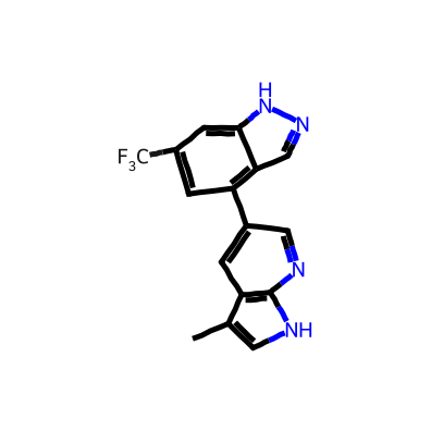 Cc1c[nH]c2ncc(-c3cc(C(F)(F)F)cc4[nH]ncc34)cc12